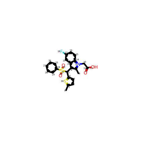 Cc1ccc(C(c2c(C)n(CC(=O)O)c3ccc(F)cc23)S(=O)(=O)c2ccccc2)s1